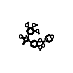 C=C1C(=O)N(c2cc(OC)c(OC)c(OC)c2)[C@H]1c1ccc(OC)c(OC(=O)N2CCOCC2)c1